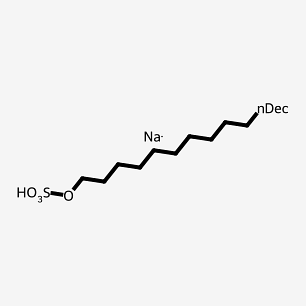 CCCCCCCCCCCCCCCCCCCCOS(=O)(=O)O.[Na]